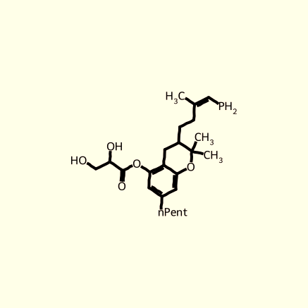 CCCCCc1cc(OC(=O)C(O)CO)c2c(c1)OC(C)(C)C(CC/C(C)=C\P)C2